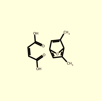 Cc1cc2cc(C)c1o2.O=C(O)/C=C\C(=O)O